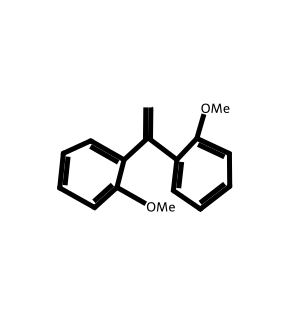 [CH]=C(c1ccccc1OC)c1ccccc1OC